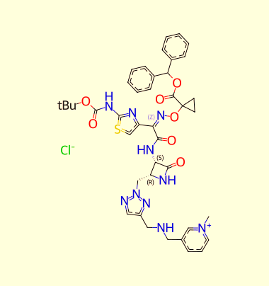 C[n+]1cccc(CNCc2cnn(C[C@H]3NC(=O)[C@H]3NC(=O)/C(=N\OC3(C(=O)OC(c4ccccc4)c4ccccc4)CC3)c3csc(NC(=O)OC(C)(C)C)n3)n2)c1.[Cl-]